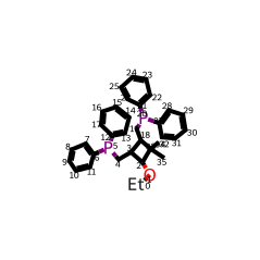 CCOC1C(CP(c2ccccc2)c2ccccc2)C(CP(c2ccccc2)c2ccccc2)C1(C)C